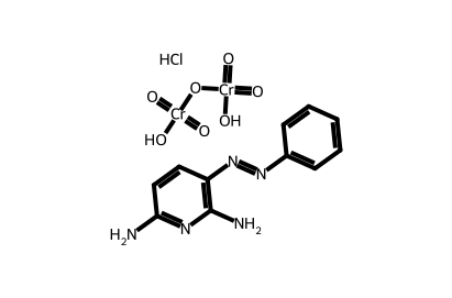 Cl.Nc1ccc(/N=N/c2ccccc2)c(N)n1.[O]=[Cr](=[O])([OH])[O][Cr](=[O])(=[O])[OH]